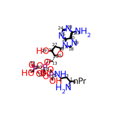 CCCC(N)CCNP(=O)(O)OP(=O)(OC[C@H]1O[C@@H](n2cnc3c(N)ncnc32)CC1O)OP(=O)(O)O